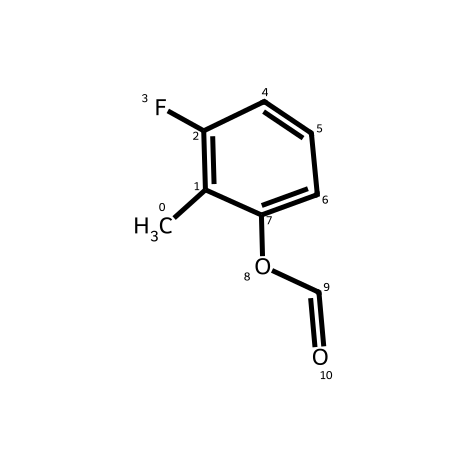 Cc1c(F)cccc1OC=O